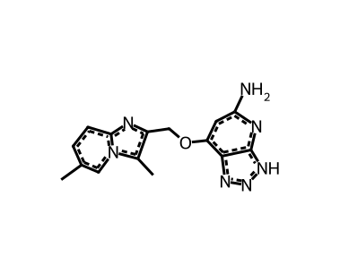 Cc1ccc2nc(COc3cc(N)nc4[nH]nnc34)c(C)n2c1